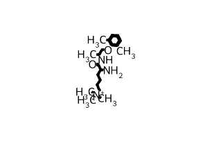 Cc1cccc(C)c1OCC(C)NC(=O)C(N)CCCC[N+](C)(C)C